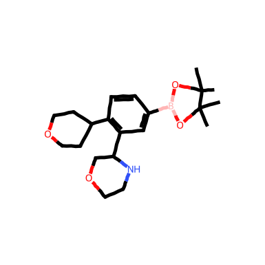 CC1(C)OB(c2ccc(C3CCOCC3)c(C3COCCN3)c2)OC1(C)C